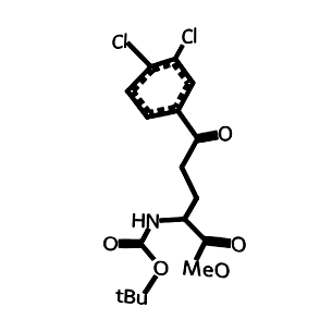 COC(=O)C(CCC(=O)c1ccc(Cl)c(Cl)c1)NC(=O)OC(C)(C)C